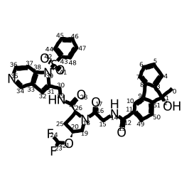 CC1(O)c2ccccc2-c2cc(C(=O)NCC(=O)N3C[C@H](OC(F)F)C[C@H]3C(=O)NCc3cc4cnccc4n3S(=O)(=O)c3ccccc3)ccc21